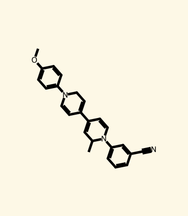 COc1ccc(N2C=CC(C3=CC(C)N(c4cccc(C#N)c4)C=C3)=CC2)cc1